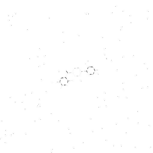 N#Cc1cc(C(=O)N2CCC(c3ncc(Cl)cc3Cl)CC2)c(C(F)(F)F)nc1O